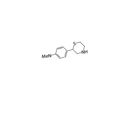 CNc1ccc(C2CNCCS2)cc1